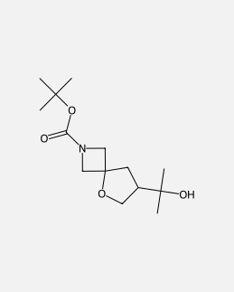 CC(C)(C)OC(=O)N1CC2(CC(C(C)(C)O)CO2)C1